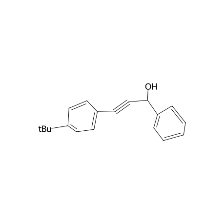 CC(C)(C)c1ccc(C#CC(O)c2ccccc2)cc1